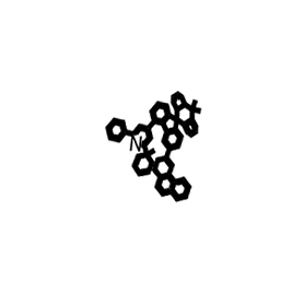 CC1(c2cc(-c3cccc4c3-c3cc(C5=Cc6c(ccc7ccccc67)CC5)ccc3C43c4ccccc4C(C)(C)C4C=CC=CC43)cc(-c3ccccc3)n2)C=CC=CC1